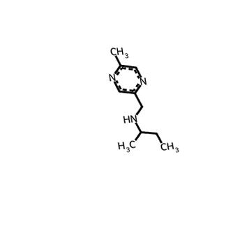 CCC(C)NCc1cnc(C)cn1